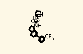 O=C(NC1CCc2ccc(-c3cccc(C(F)(F)F)c3)cc21)O[C@H]1CN2CCC1CC2